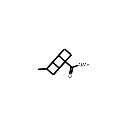 COC(=O)C12C3C4C1C1C2C3C41C